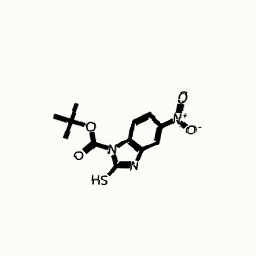 CC(C)(C)OC(=O)n1c(S)nc2cc([N+](=O)[O-])ccc21